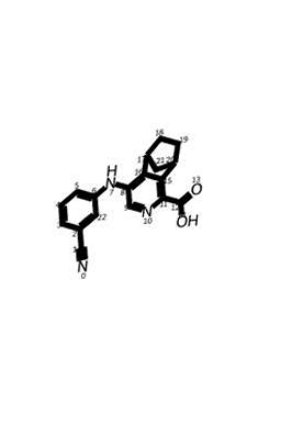 N#Cc1cccc(Nc2cnc(C(=O)O)c3c2C2CCC3C2)c1